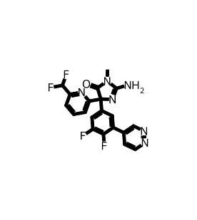 CN1C(=O)C(c2cc(F)c(F)c(-c3ccnnc3)c2)(c2cccc(C(F)F)n2)N=C1N